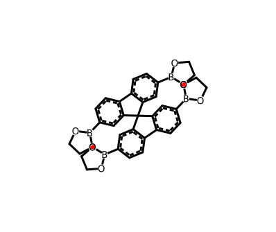 c1cc2c(cc1B1OCCO1)C1(c3cc(B4OCCO4)ccc3-2)c2cc(B3OCCO3)ccc2-c2ccc(B3OCCO3)cc21